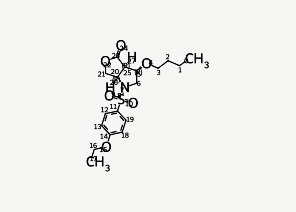 CCCCO[C@H]1CN(S(=O)(=O)c2ccc(OCC)cc2)[C@H]2COC(=O)[C@@H]12